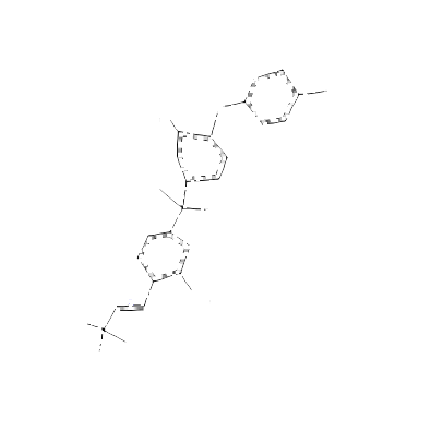 CCC(O)(/C=C/c1ccc(C(CC)(CC)c2ccc(Oc3ccc(C(=O)O)cc3)c(C)c2)cc1C)CC